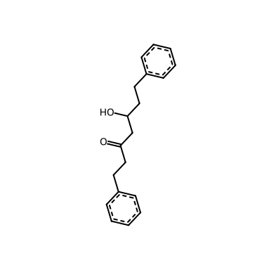 O=C(CCc1ccccc1)CC(O)CCc1ccccc1